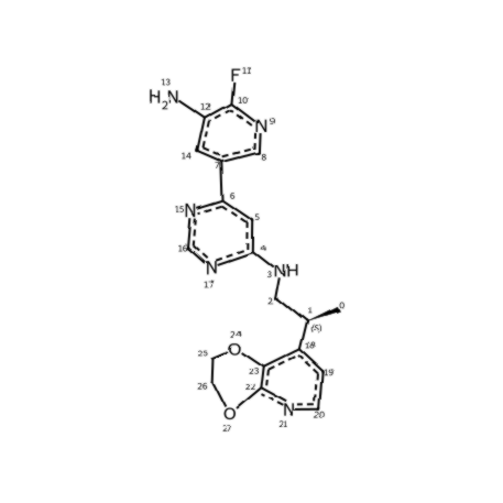 C[C@H](CNc1cc(-c2cnc(F)c(N)c2)ncn1)c1ccnc2c1OCCO2